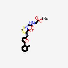 Cc1ccccc1-c1ccc(/C=C2\SCSN(CC(=O)NCC(=O)OC(C)(C)C)C2=O)o1